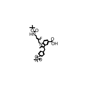 Cc1c(Cc2ccc(S(=O)(=O)N(C)C)cc2)c2cc(C(=O)O)ccc2n1CC(F)=CCNC(=O)OC(C)(C)C